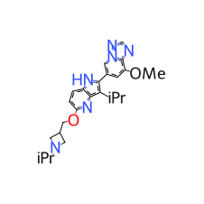 COc1cc(-c2[nH]c3ccc(OCC4CN(C(C)C)C4)nc3c2C(C)C)cn2ncnc12